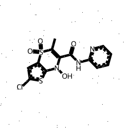 CC1=C(C(=O)Nc2ccccn2)N(O)c2sc(Cl)cc2S1(=O)=O